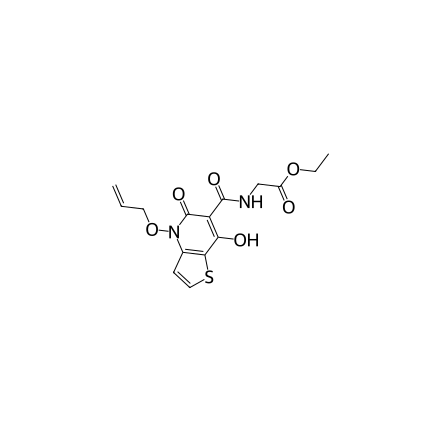 C=CCOn1c(=O)c(C(=O)NCC(=O)OCC)c(O)c2sccc21